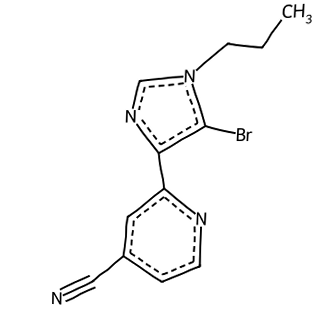 CCCn1cnc(-c2cc(C#N)ccn2)c1Br